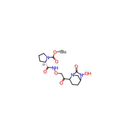 CC(C)(C)OC(=O)N1CCC[C@H]1C(=O)NOCC(=O)C1CCC2CN1C(=O)N2O